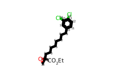 CCOC(=O)C1(CCCCCCCCc2ccc(Cl)c(Cl)c2)CO1